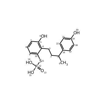 CC(CCc1c(O)cccc1SP(=O)(O)O)c1ccc(O)cc1